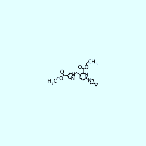 CCOC(=O)c1cnn(Cc2ccc(N3CC4(CC4)C3)nc2C(=O)OCC)c1